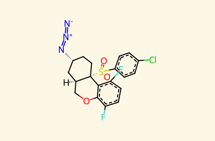 [N-]=[N+]=N[C@@H]1CC[C@@]2(S(=O)(=O)c3ccc(Cl)cc3)c3c(F)ccc(F)c3OC[C@H]2C1